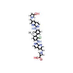 Cc1c(Nc2nccc3cc(CN4CCC(O)C4)cnc23)cccc1-c1cccc(Nc2nccc3cc(CN4CC(C(=O)O)C4)cnc23)c1Cl